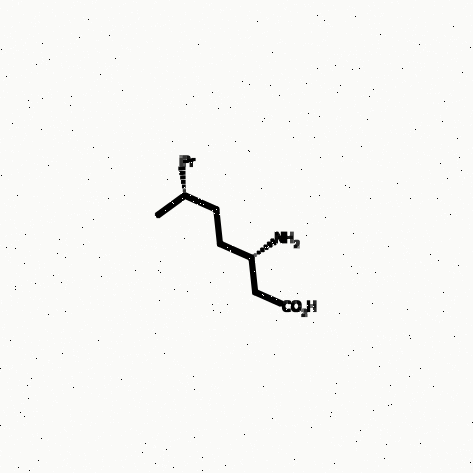 CC(C)[C@@H](C)CC[C@H](N)CC(=O)O